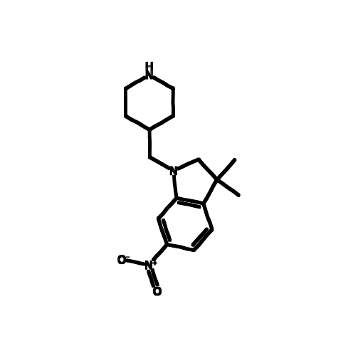 CC1(C)CN(CC2CCNCC2)c2cc([N+](=O)[O-])ccc21